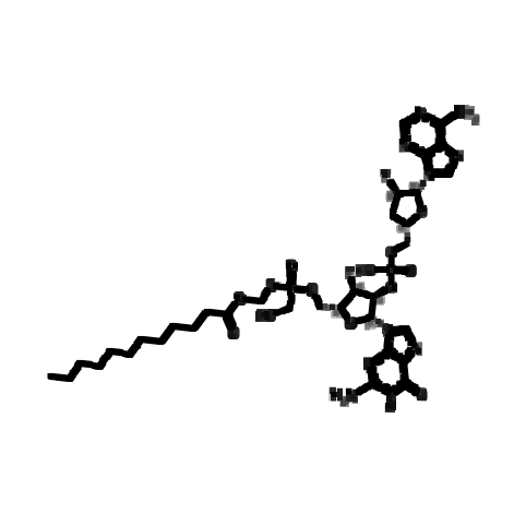 CCCCCCCCCCCC(=O)OCSP(=O)(CO)OC[C@H]1O[C@@H](n2cnc3c(=O)[nH]c(N)nc32)[C@H](OP(=O)(O)OC[C@@H]2C[C@@H](F)[C@H](n3cnc4c(N)ncnc43)O2)[C@@H]1F